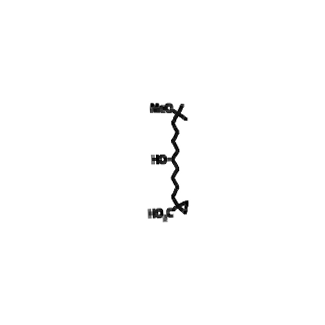 COC(C)(C)CCCCC(O)CCCCC1(C(=O)O)CC1